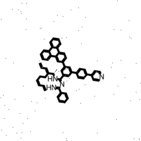 C=C/C=C\CC/C(=C\C=C)[C@H](C)N/C(=N\C(=N)c1ccccc1)c1cc(-c2ccc(-c3ccncc3)cc2)cc(-c2ccc3c4ccccc4c4ccccc4c3c2)c1